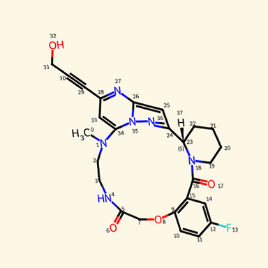 CN1CCNC(=O)COc2ccc(F)cc2C(=O)N2CCCC[C@H]2c2cc3nc(C#CCO)cc1n3n2